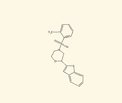 O=S(=O)(c1ccccc1C(F)(F)F)N1CCOC(c2cc3ccccc3s2)C1